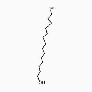 CC(C)CCCCCCCCCCCCCCO